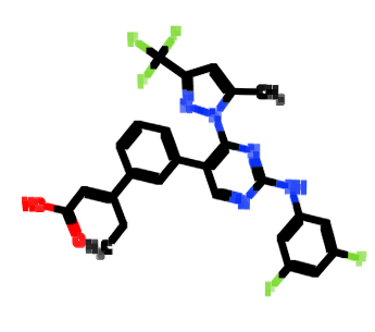 CC/C(=C\C(=O)O)c1cccc(-c2cnc(Nc3cc(F)cc(F)c3)nc2-n2nc(C(F)(F)F)cc2C)c1